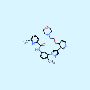 Cc1ccc(NC(=O)c2cccc(C(F)(F)F)n2)cc1-n1cc(C2C=NC=CC2OCCN2CCOCC2)cn1